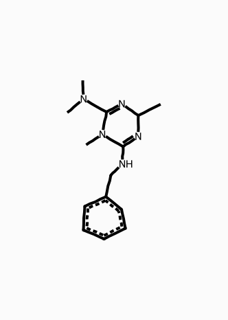 CC1N=C(NCc2ccccc2)N(C)C(N(C)C)=N1